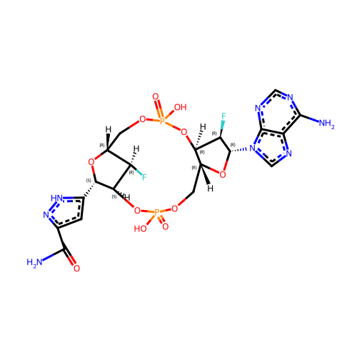 NC(=O)c1cc([C@@H]2O[C@@H]3COP(=O)(O)O[C@H]4[C@@H](F)[C@H](n5cnc6c(N)ncnc65)O[C@@H]4COP(=O)(O)O[C@@H]2[C@@H]3F)[nH]n1